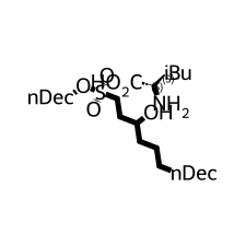 CCCCCCCCCCCCCC(O)CCS(=O)(=O)OCCCCCCCCCC.CC[C@H](C)[C@H](N)C(=O)O